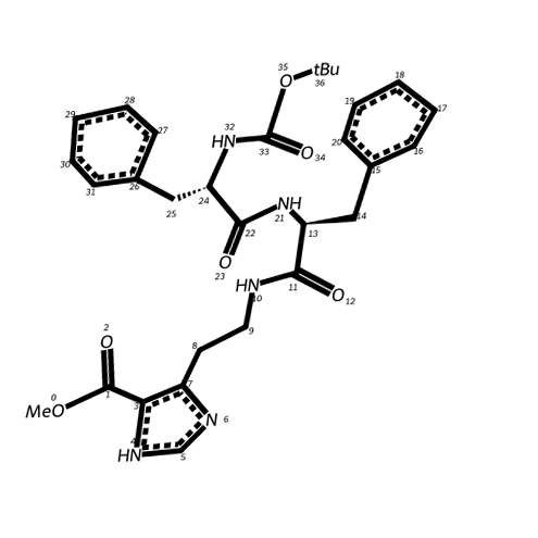 COC(=O)c1[nH]cnc1CCNC(=O)[C@H](Cc1ccccc1)NC(=O)[C@H](Cc1ccccc1)NC(=O)OC(C)(C)C